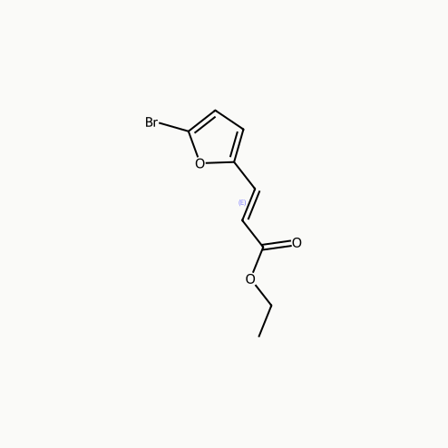 CCOC(=O)/C=C/c1ccc(Br)o1